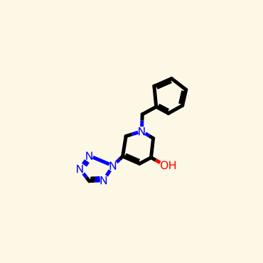 OC1C=C(n2ncnn2)CN(Cc2ccccc2)C1